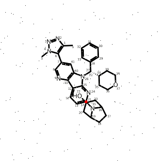 Cc1nnn(C)c1-c1cnc2c3ccc(N4C5CCC4CC(O)C5)nc3n([C@H](c3ccccc3)C3CCOCC3)c2c1